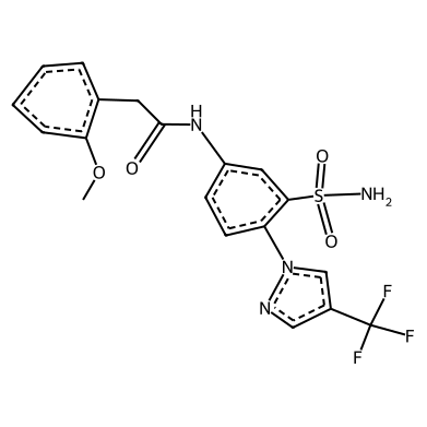 COc1ccccc1CC(=O)Nc1ccc(-n2cc(C(F)(F)F)cn2)c(S(N)(=O)=O)c1